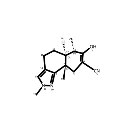 C[C@@H]1C(O)=C(C#N)C[C@]2(C)c3nn(C)cc3CC[C@@H]12